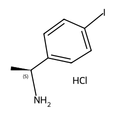 C[C@H](N)c1ccc(I)cc1.Cl